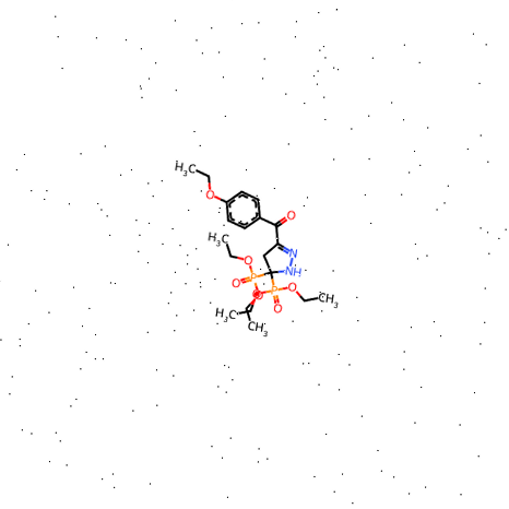 CCOc1ccc(C(=O)C2=NNC(P(=O)(OCC)OCC)(P(=O)(OCC)OCC)C2)cc1